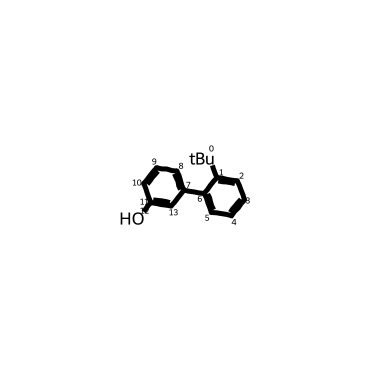 CC(C)(C)c1ccccc1-c1cccc(O)c1